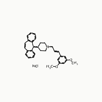 COc1cc(/C=C/CN2CCC(=C3c4ccccc4C=Cc4ccccc43)CC2)cc(OC)c1.Cl